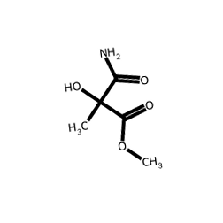 COC(=O)C(C)(O)C(N)=O